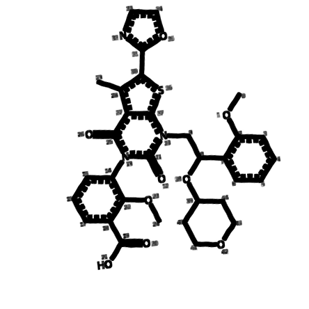 COc1ccccc1C(Cn1c(=O)n(-c2cccc(C(=O)O)c2OC)c(=O)c2c(C)c(-c3ncco3)sc21)OC1CCOCC1